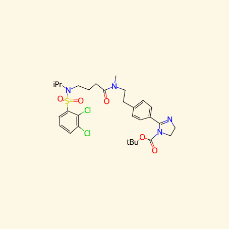 CC(C)N(CCCC(=O)N(C)CCc1ccc(C2=NCCN2C(=O)OC(C)(C)C)cc1)S(=O)(=O)c1cccc(Cl)c1Cl